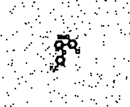 COc1ccc(Cl)cc1-c1cccnc1Oc1ccc(C(F)(F)F)nc1